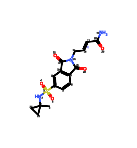 CC1(NS(=O)(=O)c2ccc3c(c2)C(=O)N(C/C=C/C(N)=O)C3=O)CC1